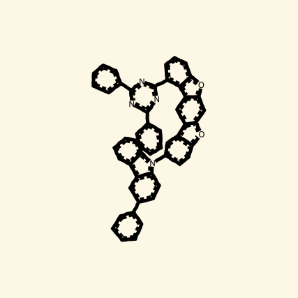 c1ccc(-c2ccc3c(c2)c2ccccc2n3-c2ccc3oc4cc5oc6cccc(-c7nc(-c8ccccc8)nc(-c8ccccc8)n7)c6c5cc4c3c2)cc1